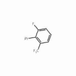 CC(C)c1c(F)cccc1C(F)(F)F